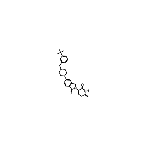 C=C1CCC(N2Cc3cc(C4CCN(Cc5cccc(C(C)(C)C)c5)CC4)ccc3C2=O)C(=O)N1